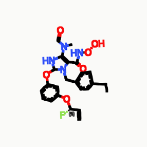 C=C[C@H](F)Oc1cccc(OC2NC(N(C)C=O)=C(C(=O)NOO)N2Cc2ccc(CC)cc2)c1